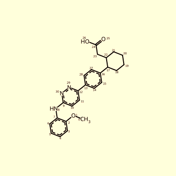 COc1ccccc1Nc1ccc(-c2ccc(C3CCCCC3CC(=O)O)cc2)nn1